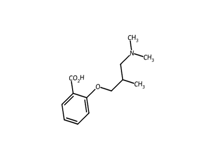 CC(COc1ccccc1C(=O)O)CN(C)C